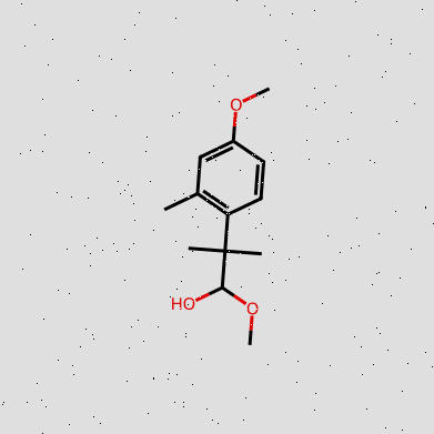 COc1ccc(C(C)(C)C(O)OC)c(C)c1